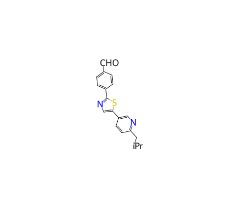 CC(C)Cc1ccc(-c2cnc(-c3ccc(C=O)cc3)s2)cn1